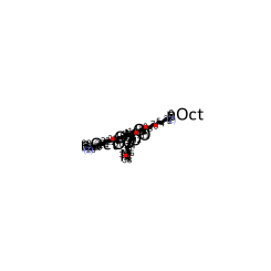 CCCCCCCC/C=C\CCCCCCCC(=O)OCCN(CCOC(=O)CCCCCCC/C=C\CCCCCCCC)C(=O)OCCCN(C)C